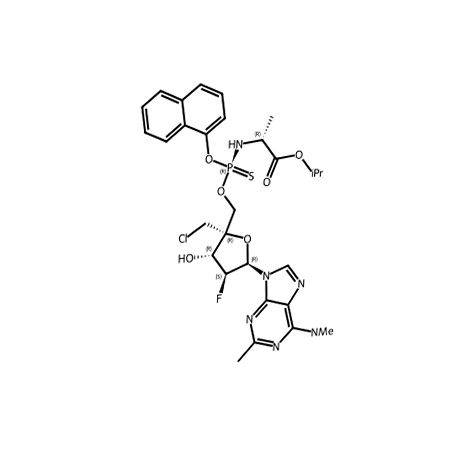 CNc1nc(C)nc2c1ncn2[C@@H]1O[C@](CCl)(CO[P@](=S)(N[C@H](C)C(=O)OC(C)C)Oc2cccc3ccccc23)[C@@H](O)[C@@H]1F